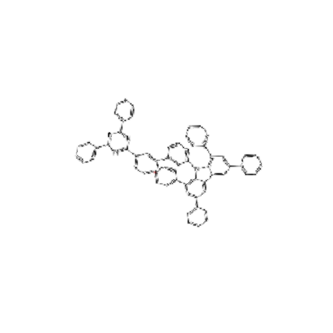 c1ccc(-c2cc(-c3ccccc3)c3c(c2)c2cc(-c4ccccc4)cc(-c4ccccc4)c2n3-c2cccc(-c3cccc(-c4nc(-c5ccccc5)nc(-c5ccccc5)n4)c3)c2)cc1